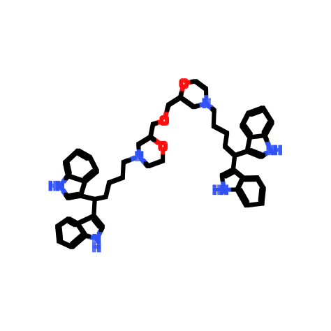 c1ccc2c(C(CCCCN3CCOC(COCC4CN(CCCCC(c5c[nH]c6ccccc56)c5c[nH]c6ccccc56)CCO4)C3)c3c[nH]c4ccccc34)c[nH]c2c1